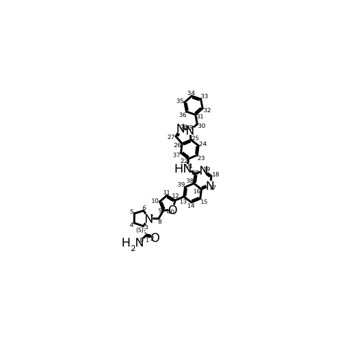 NC(=O)[C@@H]1CCCN1Cc1ccc(-c2ccc3ncnc(Nc4ccc5c(cnn5Cc5ccccc5)c4)c3c2)o1